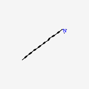 CC#CC#CC#CC#CC#CC#CC#CC#CCN(C)C